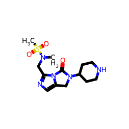 CN(Cc1ncc2n1C(=O)N(C1CCNCC1)C2)S(C)(=O)=O